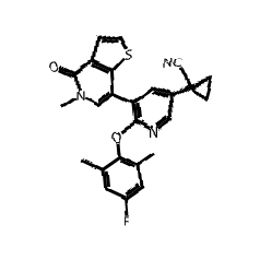 Cc1cc(F)cc(C)c1Oc1ncc(C2(C#N)CC2)cc1-c1cn(C)c(=O)c2ccsc12